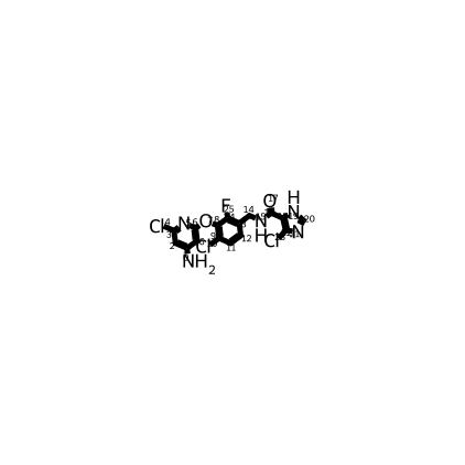 Nc1cc(Cl)nc(Oc2c(Cl)ccc(CNC(=O)c3[nH]cnc3Cl)c2F)c1